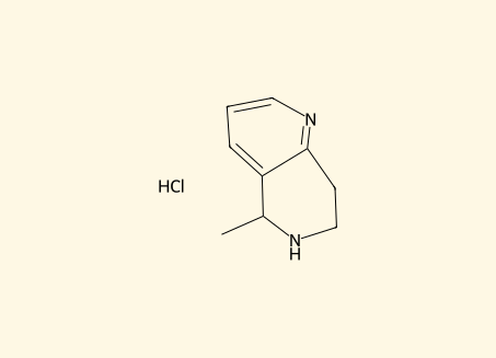 CC1NCCc2ncccc21.Cl